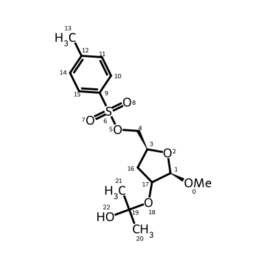 CO[C@@H]1O[C@H](COS(=O)(=O)c2ccc(C)cc2)CC1OC(C)(C)O